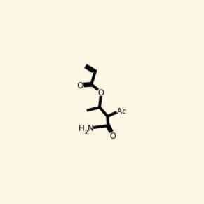 C=CC(=O)OC(C)C(C(C)=O)C(N)=O